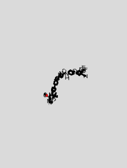 COCC[C@@H]1N=C(c2ccc(C3CCC4(CC3)CCN(c3ccc(C(=O)NC5CCC(Oc6ccc(C#N)c(OC(F)(F)F)c6)CC5)nn3)C4)cc2)c2c(sc(C)c2C)-n2c(C)nnc21